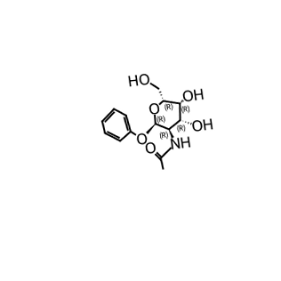 CC(=O)N[C@H]1[C@@H](Oc2ccccc2)O[C@H](CO)[C@H](O)[C@@H]1O